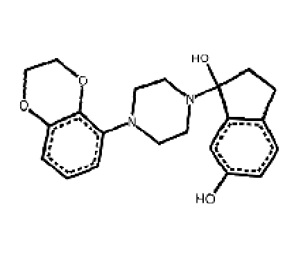 Oc1ccc2c(c1)C(O)(N1CCN(c3cccc4c3OCCO4)CC1)CC2